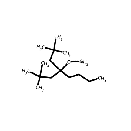 CCCCC(CC(C)(C)C)(CC(C)(C)C)O[SiH3]